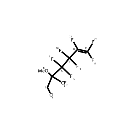 COC(CCl)(C(F)(F)F)C(F)(F)C(F)(F)C(F)=C(F)F